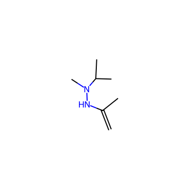 C=C(C)NN(C)C(C)C